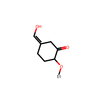 CCOC1CCC(=CO)CC1=O